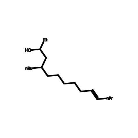 CCCC=CCCCCCC(CCCC)CC(O)CC